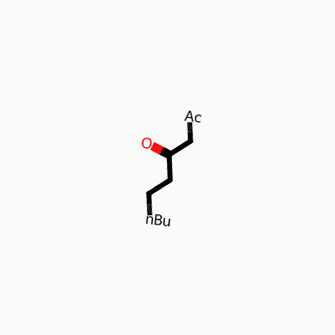 CCCCCCC(=O)CC(C)=O